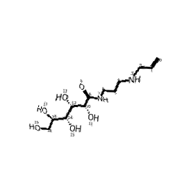 C=CCNCCCNC(=O)[C@H](O)[C@@H](O)[C@H](O)[C@H](O)CO